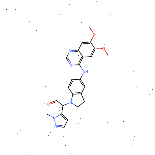 COc1cc2ncnc(Nc3ccc4c(c3)CCN4C(C=O)c3ccnn3C)c2cc1OC